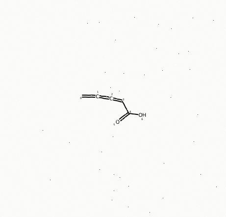 C=C=C=CC(=O)O